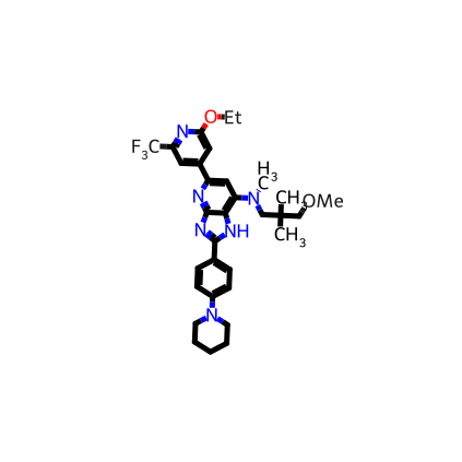 CCOc1cc(-c2cc(N(C)CC(C)(C)COC)c3[nH]c(-c4ccc(N5CCCCC5)cc4)nc3n2)cc(C(F)(F)F)n1